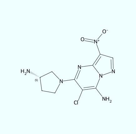 Nc1c(Cl)c(N2CC[C@H](N)C2)nc2c([N+](=O)[O-])cnn12